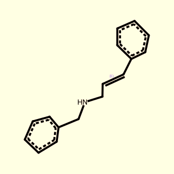 C(=C\c1ccccc1)/CNCc1ccccc1